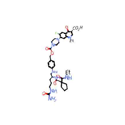 CCNC(=O)C1(C(=O)NC(CCCNC(N)=O)CNc2ccc(COC(=O)N3CCN(c4cc5c(cc4F)c(=O)c(C(=O)O)cn5CC)CC3)cc2)CCCC1